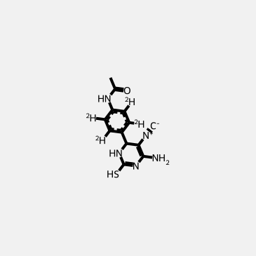 [2H]c1c([2H])c(C2NC(S)=NC(N)=C2[N+]#[C-])c([2H])c([2H])c1NC(C)=O